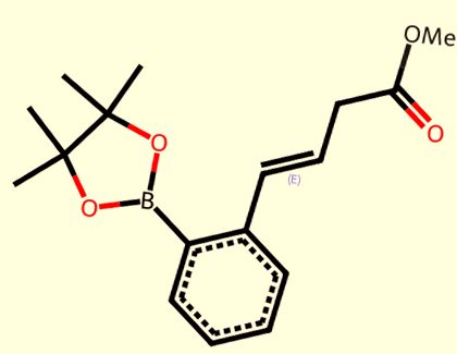 COC(=O)C/C=C/c1ccccc1B1OC(C)(C)C(C)(C)O1